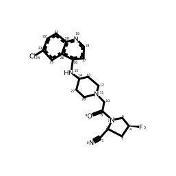 N#CC1C[C@H](F)CN1C(=O)CN1CCC(Nc2ccnc3ccc(Cl)cc23)CC1